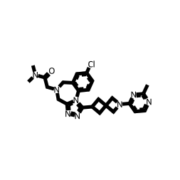 Cc1nccc(N2CC3(CC(c4nnc5n4-c4ccc(Cl)cc4CN(CC(=O)N(C)C)C5)C3)C2)n1